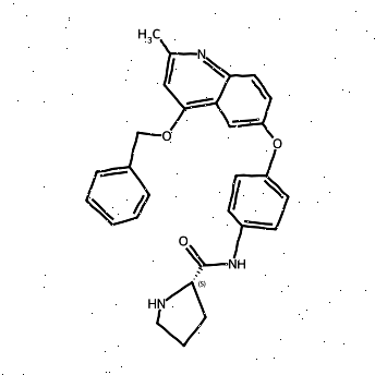 Cc1cc(OCc2ccccc2)c2cc(Oc3ccc(NC(=O)[C@@H]4CCCN4)cc3)ccc2n1